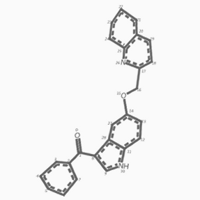 O=C(c1ccccc1)c1c[nH]c2ccc(OCc3ccc4ccccc4n3)cc12